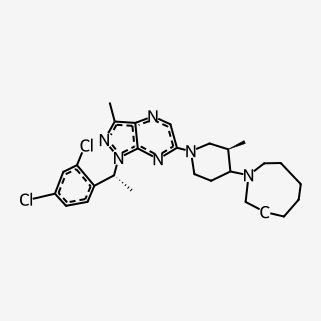 Cc1nn([C@H](C)c2ccc(Cl)cc2Cl)c2nc(N3CCC(N4CCCCCCC4)[C@H](C)C3)cnc12